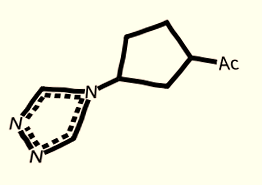 CC(=O)C1CCC(n2cnnc2)C1